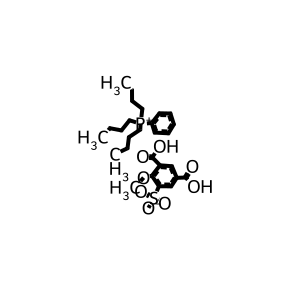 CCCC[P+](CCCC)(CCCC)c1ccccc1.COc1c(C(=O)O)cc(C(=O)O)cc1S(=O)(=O)[O-]